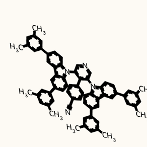 Cc1cc(C)cc(-c2ccc3c(c2)c2cc(-c4cc(C)cc(C)c4)ccc2n3-c2cncc(-n3c4ccc(-c5cc(C)cc(C)c5)cc4c4cc(-c5cc(C)cc(C)c5)ccc43)c2-c2ccc(C#N)cc2)c1